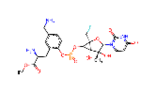 CC(C)OC(=O)[C@@H](N)Cc1cc(CN)ccc1O[PH](=O)OC1[C@]2(O)[C@@](C)(O)[C@H](n3ccc(=O)[nH]c3=O)O[C@]12CF